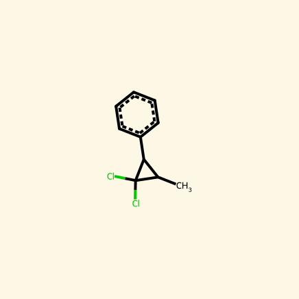 C[C]1C(c2ccccc2)C1(Cl)Cl